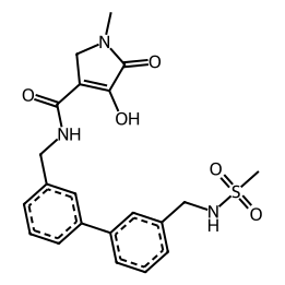 CN1CC(C(=O)NCc2cccc(-c3cccc(CNS(C)(=O)=O)c3)c2)=C(O)C1=O